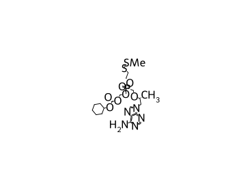 CSSCCOP(=O)(CO[C@H](C)Cn1cnc2c(N)ncnc21)OCOC(=O)OC1CCCCC1